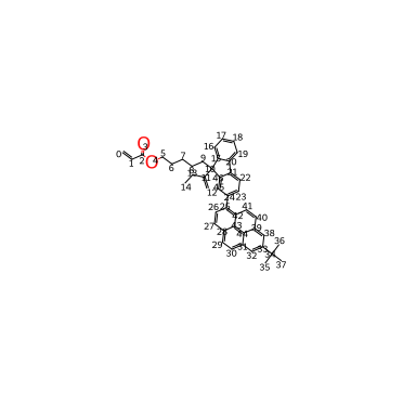 C=CC(=O)OCCCCCC1(C(=C)CC)c2ccccc2-c2ccc(-c3ccc4ccc5cc(C(C)(C)C)cc6ccc3c4c56)cc21